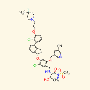 C[C@@H](O)[C@H](NCc1cc(Cl)c(O[C@H]2CCc3c(-c4cccc(OCCCN5CCC(C)(F)CC5)c4Cl)cccc32)cc1OCc1cncc(C#N)c1)C(=O)NS(C)(=O)=O